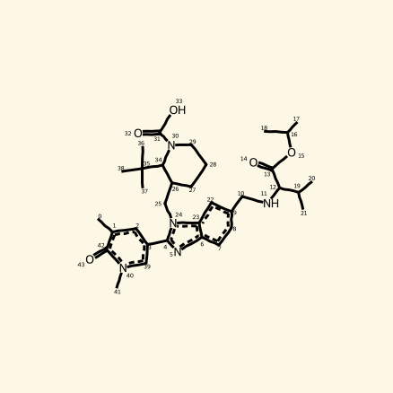 Cc1cc(-c2nc3ccc(CNC(C(=O)OC(C)C)C(C)C)cc3n2CC2CCCN(C(=O)O)C2C(C)(C)C)cn(C)c1=O